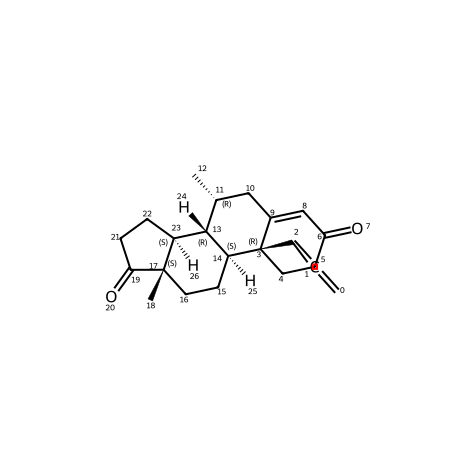 C=C=C[C@]12CCC(=O)C=C1C[C@@H](C)[C@@H]1[C@@H]2CC[C@]2(C)C(=O)CC[C@@H]12